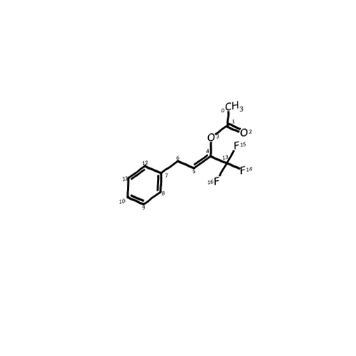 CC(=O)OC(=CCc1ccccc1)C(F)(F)F